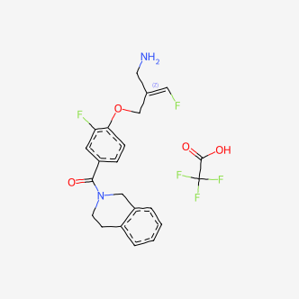 NC/C(=C/F)COc1ccc(C(=O)N2CCc3ccccc3C2)cc1F.O=C(O)C(F)(F)F